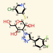 OCC1O[C@H](Sc2cncc(Cl)c2)[C@@H](O)C(n2cc(-c3ccc(F)c(F)c3)nn2)[C@H]1O